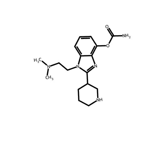 CN(C)CCn1c(C2CCCNC2)nc2c(OC(N)=O)cccc21